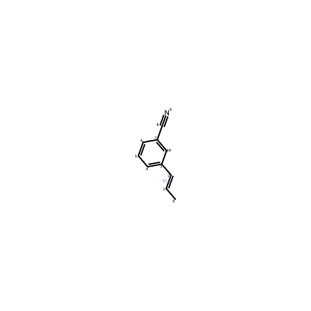 C/C=C/c1cccc(C#N)c1